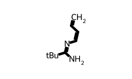 C=C/C=C\N=C(/N)C(C)(C)C